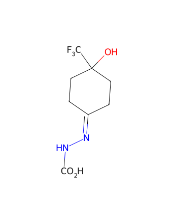 O=C(O)NN=C1CCC(O)(C(F)(F)F)CC1